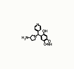 N[C@@H]1CCN(C(c2ccncc2)c2cc3c(cc2O)ONO3)C1